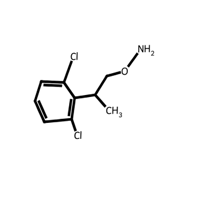 CC(CON)c1c(Cl)cccc1Cl